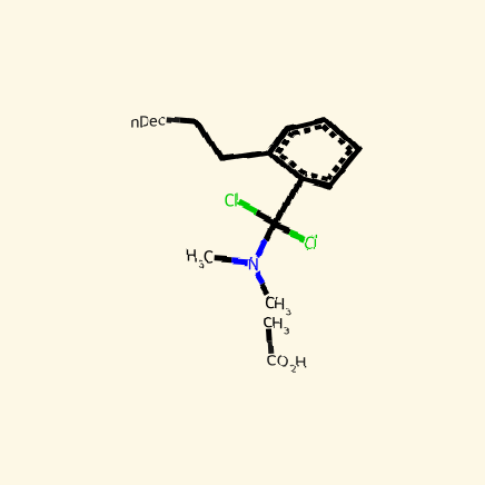 CC(=O)O.CCCCCCCCCCCCc1ccccc1C(Cl)(Cl)N(C)C